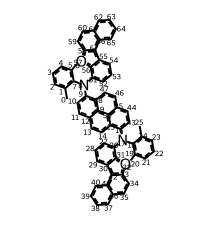 Cc1cccc(C)c1N(c1ccc2ccc3c(N(c4c(C)cccc4C)c4cccc5c4oc4ccc6ccccc6c45)ccc4ccc1c2c43)c1cccc2c1oc1ccc3ccccc3c12